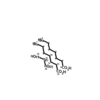 CC(C)(C)CCCCCC(=O)O.CC(C)(C)CCCCCC(=O)O.CCCCCCC[CH2][Sn][CH2]CCCCCCC